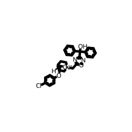 OC(c1ccccc1)(c1ccccc1)c1noc(C[N+]23CCC(CC2)[C@@H](Oc2ccc(Cl)cc2)C3)n1